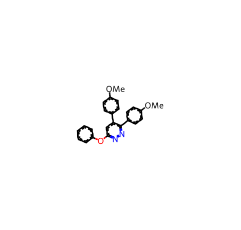 COc1ccc(-c2cc(Oc3ccccc3)nnc2-c2ccc(OC)cc2)cc1